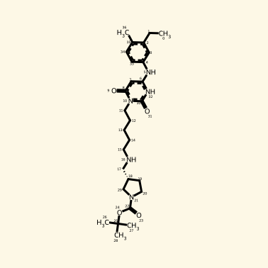 CCc1cc(Nc2cc(=O)n(CCCCCNC[C@@H]3CCN(C(=O)OC(C)(C)C)C3)c(=O)[nH]2)ccc1C